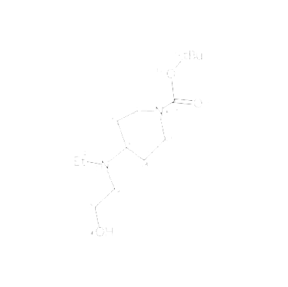 CCN(CCO)C1CCN(C(=O)OC(C)(C)C)CC1